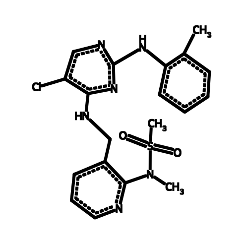 Cc1ccccc1Nc1ncc(Cl)c(NCc2cccnc2N(C)S(C)(=O)=O)n1